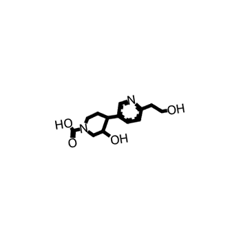 O=C(O)N1CCC(c2ccc(CCO)nc2)C(O)C1